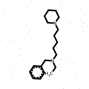 CCN(CCCCCN1CC[CH]CC1)Cc1ccccc1